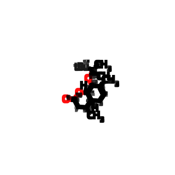 CC1=CC[C@@H]2[C@@H](C)CC(=O)O[C@H]2C1O[Si](C)(C)C(C)(C)C